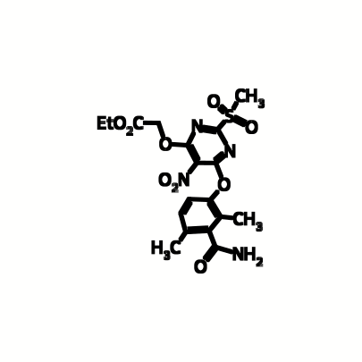 CCOC(=O)COc1nc(S(C)(=O)=O)nc(Oc2ccc(C)c(C(N)=O)c2C)c1[N+](=O)[O-]